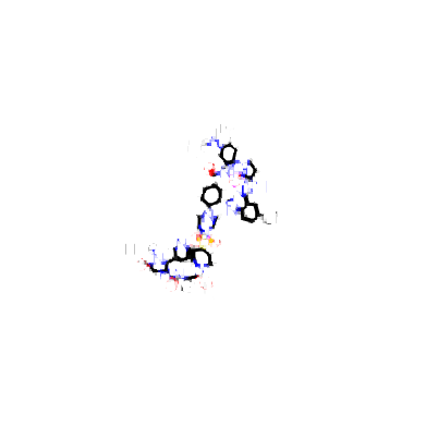 CC(C)N(C)C1CCC(N2CC[C@H](Nc3ncnc4ccc(C(F)(F)F)cc34)C2=O)[C@H](NC(=O)[C@H]2CC[C@H](N3CCN(S(=O)(=O)C4CCN(C(=O)[C@H](C)NC(=O)[C@H]5CC(=O)N(C)C5c5cccnc5)CC4)CC3)CC2)C1